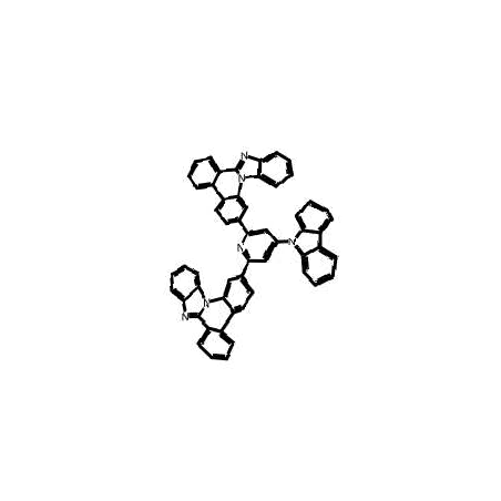 c1ccc2c(c1)nc1c3ccccc3c3ccc(-c4cc(-n5c6ccccc6c6ccccc65)cc(-c5ccc6c7ccccc7c7nc8ccccc8n7c6c5)n4)cc3n21